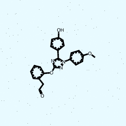 COc1ccc(-n2nc(Oc3ccccc3CC=O)nc2-c2ccc(O)cc2)cc1